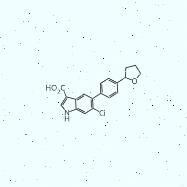 O=C(O)c1c[nH]c2cc(Cl)c(-c3ccc(C4CCCO4)cc3)cc12